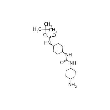 CC(C)(C)OC(=O)N[C@H]1CC[C@@H](NC(=O)N[C@H]2CC[C@@H](N)CC2)CC1